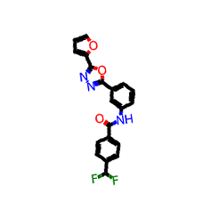 O=C(Nc1cccc(-c2nnc(-c3ccco3)o2)c1)c1ccc(C(F)F)cc1